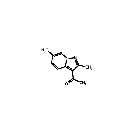 CC(=O)c1c(C)nn2cc(C)ccc12